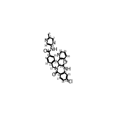 Cc1cnc(NC(=O)c2ccc(CN3C(=O)c4ccc(Cl)cc4NC(=O)C3Cc3ccccn3)cc2)cn1